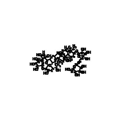 C[C@H](CC[C@@H](O[C@@H]1O[C@H](CO)C[C@H](O)[C@H]1O[C@@H]1O[C@H](CO)[C@@H](O)[C@H](O)[C@H]1O)C(C)(C)O)C1CC[C@@]2(C)C3CC=C4C(CC[C@H](O[C@@H]5O[C@H](CO[C@@H]6O[C@H](CO)[C@@H](O)[C@H](O)[C@H]6O)[C@@H](O)[C@H](O)[C@H]5O)C4(C)C)[C@]3(C)[C@H](O)C[C@]12C